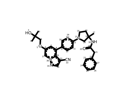 CC(C)(O)COc1cc(-c2ccc(N3CCC(C)(NC(=O)Cc4ccccc4)C3)nc2)c2c(C#N)cnn2c1